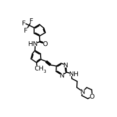 Cc1ccc(NC(=O)c2cccc(C(F)(F)F)c2)cc1C#Cc1cnc(NCCCN2CCOCC2)nc1